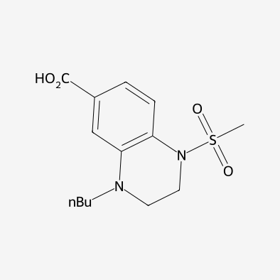 CCCCN1CCN(S(C)(=O)=O)c2ccc(C(=O)O)cc21